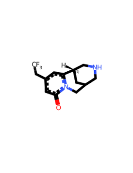 O=c1cc(CC(F)(F)F)cc2n1CC1CNC[C@@H]2C1